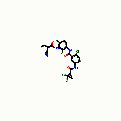 CCC(C#N)C(=O)Nc1c(F)ccc(NC(=O)c2cc(NC(=O)[C@H]3CC3(Cl)Cl)ccc2Cl)c1F